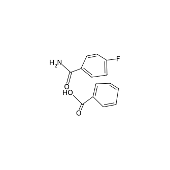 NC(=O)c1ccc(F)cc1.O=C(O)c1ccccc1